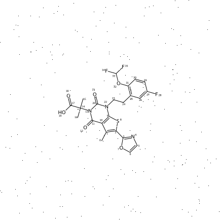 Cc1c(-c2ncco2)sc2c1c(=O)n(C(C)(C)C(=O)O)c(=O)n2CCc1cc(F)ccc1OC(F)F